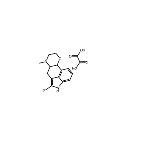 CN1CCOC2c3cccc4[nH]c(Br)c(c34)CC21.O=C(O)C(=O)O